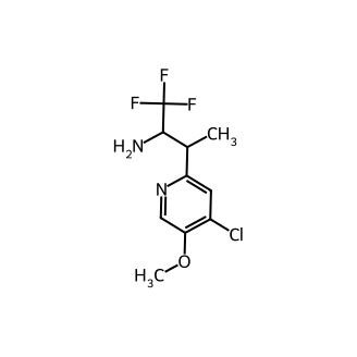 COc1cnc(C(C)C(N)C(F)(F)F)cc1Cl